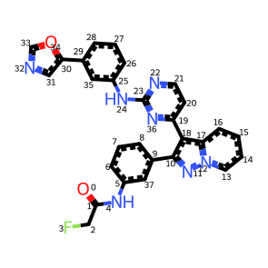 O=C(CF)Nc1cccc(-c2nn3ccccc3c2-c2ccnc(Nc3cccc(-c4cnco4)c3)n2)c1